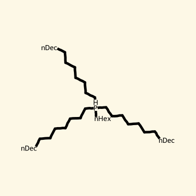 CCCCCCCCCCCCCCCCC[PH](CCCCCC)(CCCCCCCCCCCCCCCCC)CCCCCCCCCCCCCCCCC